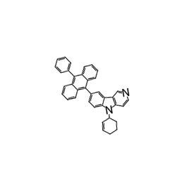 C1=CC(n2c3ccncc3c3cc(-c4c5ccccc5c(-c5ccccc5)c5ccccc45)ccc32)CCC1